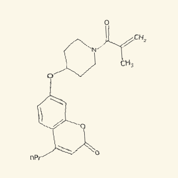 C=C(C)C(=O)N1CCC(Oc2ccc3c(CCC)cc(=O)oc3c2)CC1